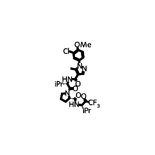 COc1ccc(-n2ncc(C(=O)N[C@H](C(=O)N3CCC[C@H]3C(=O)N[C@H](C(=O)C(F)(F)F)C(C)C)C(C)C)c2C)cc1Cl